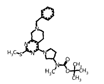 CSc1nc2c(c(N3CCC(N(C)C(=O)OC(C)(C)C)C3)n1)CCN(Cc1ccccc1)C2